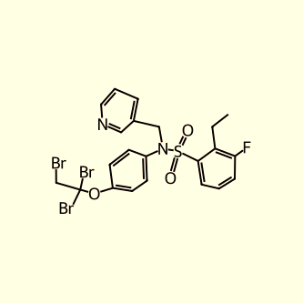 CCc1c(F)cccc1S(=O)(=O)N(Cc1cccnc1)c1ccc(OC(Br)(Br)CBr)cc1